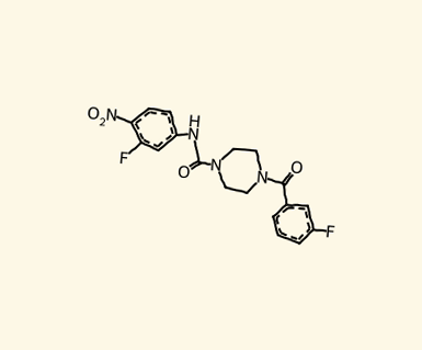 O=C(Nc1ccc([N+](=O)[O-])c(F)c1)N1CCN(C(=O)c2cccc(F)c2)CC1